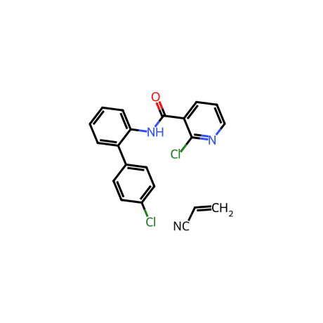 C=CC#N.O=C(Nc1ccccc1-c1ccc(Cl)cc1)c1cccnc1Cl